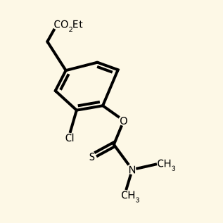 CCOC(=O)Cc1ccc(OC(=S)N(C)C)c(Cl)c1